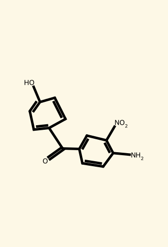 Nc1ccc(C(=O)c2ccc(O)cc2)cc1[N+](=O)[O-]